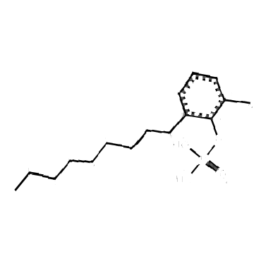 CCCCCCCCCc1cccc(C)c1OP(=O)(O)O